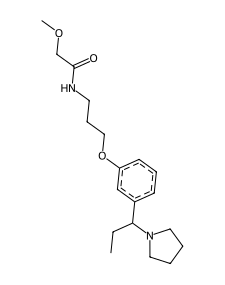 CCC(c1cccc(OCCCNC(=O)COC)c1)N1CCCC1